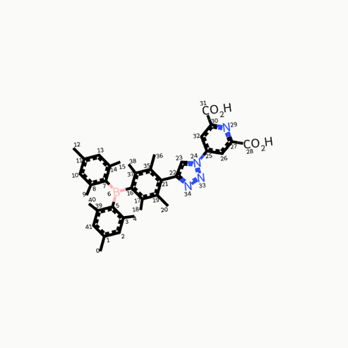 Cc1cc(C)c(B(c2c(C)cc(C)cc2C)c2c(C)c(C)c(-c3cn(-c4cc(C(=O)O)nc(C(=O)O)c4)nn3)c(C)c2C)c(C)c1